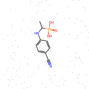 CC(Nc1ccc(C#N)cc1)P(=O)(O)O